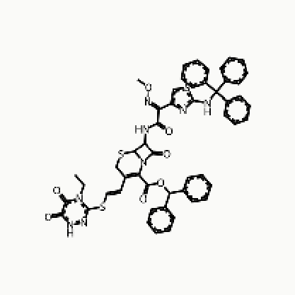 CCn1c(SC=CC2=C(C(=O)OC(c3ccccc3)c3ccccc3)N3C(=O)C(NC(=O)C(=NOC)c4csc(NC(c5ccccc5)(c5ccccc5)c5ccccc5)n4)C3SC2)n[nH]c(=O)c1=O